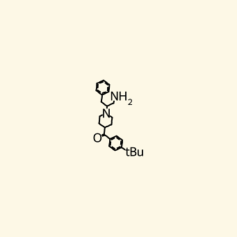 CC(C)(C)c1ccc(C(=O)C2CCN(C(CN)Cc3ccccc3)CC2)cc1